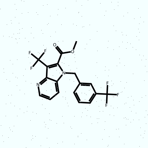 COC(=O)c1c(C(F)(F)F)c2ncccc2n1Cc1cccc(C(F)(F)F)c1